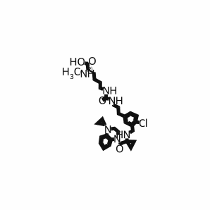 CN[C@H](CCCCNC(=O)NCCCc1ccc(Cl)c(CNC2(C(=O)N3CCN(C4CC4)c4ccccc43)CC2)c1)C(=O)O